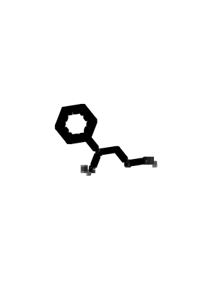 COCN(C)c1[c]cccc1